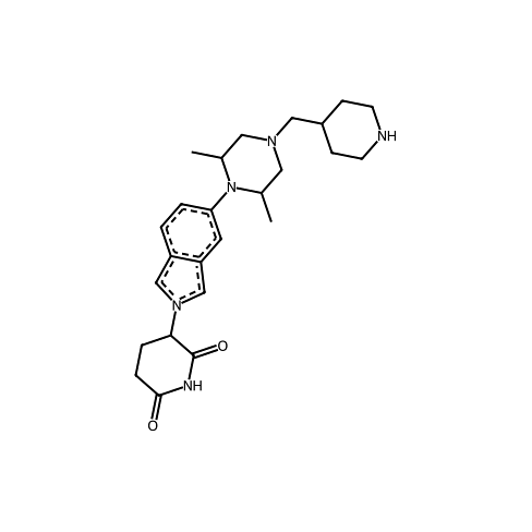 CC1CN(CC2CCNCC2)CC(C)N1c1ccc2cn(C3CCC(=O)NC3=O)cc2c1